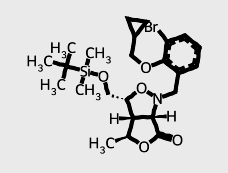 C[C@@H]1OC(=O)[C@@H]2[C@H]1[C@H](CO[Si](C)(C)C(C)(C)C)ON2Cc1cccc(Br)c1OCC1CC1